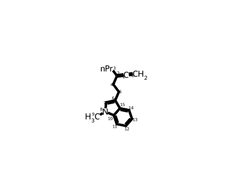 C=C=C(CCC)CCc1cn(C)c2ccccc12